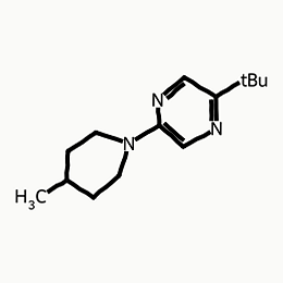 CC1CCN(c2cnc(C(C)(C)C)cn2)CC1